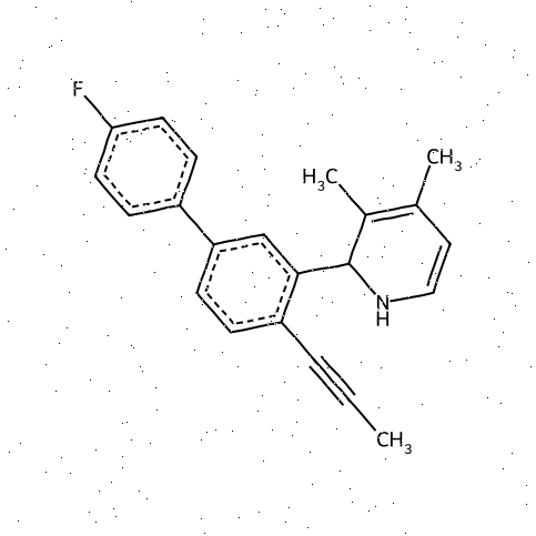 CC#Cc1ccc(-c2ccc(F)cc2)cc1C1NC=CC(C)=C1C